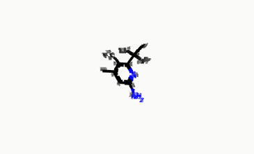 CCCC(C)(CC)c1nc(N)cc(C)c1C(F)(F)F